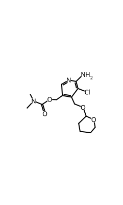 CN(C)C(=O)OCc1cnc(N)c(Cl)c1COC1CCCCO1